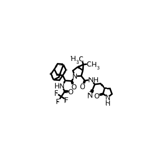 CC1(C)C2CN(C(=O)C(NC(=O)C(F)(F)F)C34CC5CC(CC(C5)C3)C4)C(C(=O)NC(C#N)CC3CCNC3=O)C21